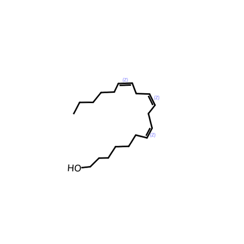 CCCCC/C=C\C/C=C\C/C=C\CCCCCCO